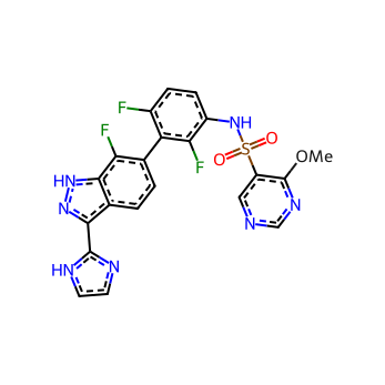 COc1ncncc1S(=O)(=O)Nc1ccc(F)c(-c2ccc3c(-c4ncc[nH]4)n[nH]c3c2F)c1F